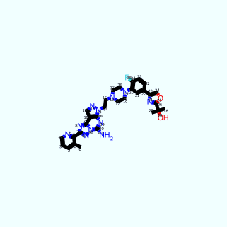 Cc1cccnc1-c1nc2c3cnn(CCN4CCN(c5cc(-c6coc(C(C)(C)O)n6)ccc5F)CC4)c3nc(N)n2n1